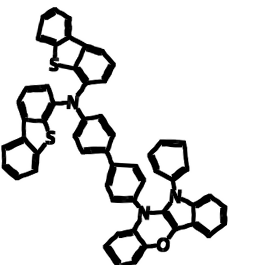 c1ccc(-n2c3c(c4ccccc42)Oc2ccccc2N3c2ccc(-c3ccc(N(c4cccc5c4sc4ccccc45)c4cccc5c4sc4ccccc45)cc3)cc2)cc1